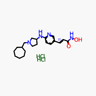 Cl.Cl.O=C(/C=C/c1ccc(NC2CCN(CC3CCCCCC3)C2)nc1)NO